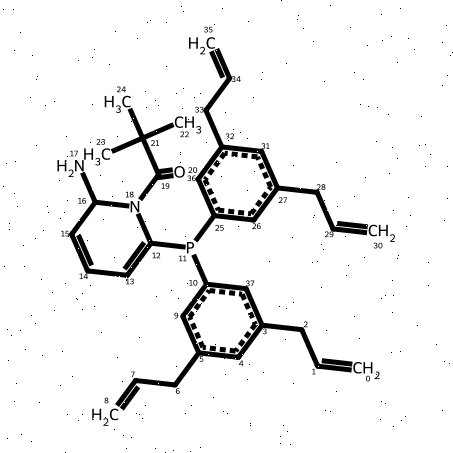 C=CCc1cc(CC=C)cc(P(C2=CC=CC(N)N2C(=O)C(C)(C)C)c2cc(CC=C)cc(CC=C)c2)c1